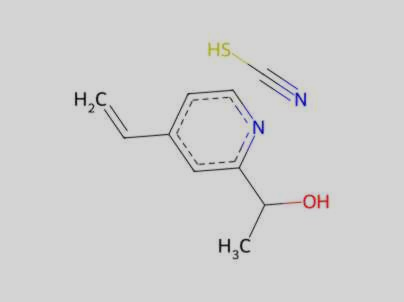 C=Cc1ccnc(C(C)O)c1.N#CS